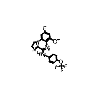 COc1cc(F)cc2c1nc(Nc1ccc(OC(F)(F)F)cc1)c1nccn12